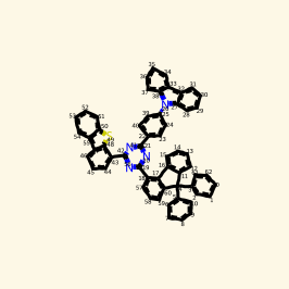 c1ccc(C2(c3ccccc3)c3ccccc3-c3c(-c4nc(-c5ccc(-n6c7ccccc7c7ccccc76)cc5)nc(-c5cccc6c5sc5ccccc56)n4)cccc32)cc1